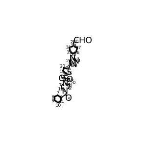 C[C@@H]1CN(C(=O)c2ccccc2)CCN1S(=O)(=O)c1ccc(-c2cn(-c3ccc(CC=O)cc3)nn2)s1